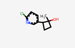 CC1(O)CC[C]1c1ccc(Cl)nc1